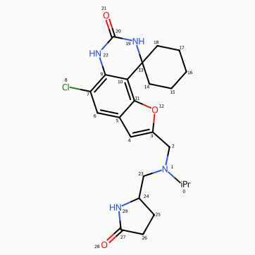 CC(C)N(Cc1cc2cc(Cl)c3c(c2o1)C1(CCCCC1)NC(=O)N3)CC1CCC(=O)N1